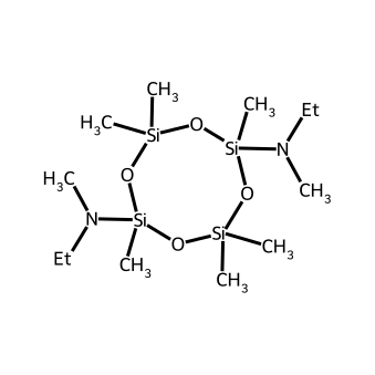 CCN(C)[Si]1(C)O[Si](C)(C)O[Si](C)(N(C)CC)O[Si](C)(C)O1